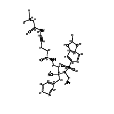 CC(C)CN(C(O)(CCNC(=O)CCC#CNC(=O)CN(C)C)Cc1ccccc1)S(=O)(=O)c1ccc2c(c1)OC(C)O2